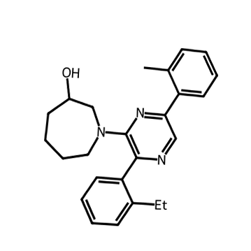 CCc1ccccc1-c1ncc(-c2ccccc2C)nc1N1CCCCC(O)C1